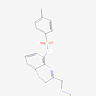 CCNCc1ccc2cccc(NS(=O)(=O)c3ccc(C)cc3)c2n1